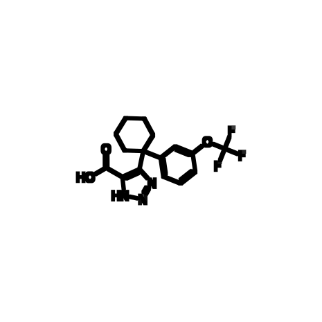 O=C(O)c1[nH]nnc1C1(c2cccc(OC(F)(F)F)c2)CCCCC1